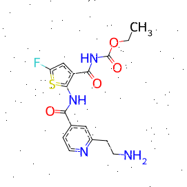 CCOC(=O)NC(=O)c1cc(F)sc1NC(=O)c1ccnc(CCN)c1